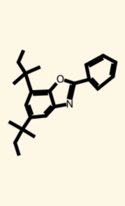 CCC(C)(C)c1cc(C(C)(C)CC)c2oc(-c3ccccc3)nc2c1